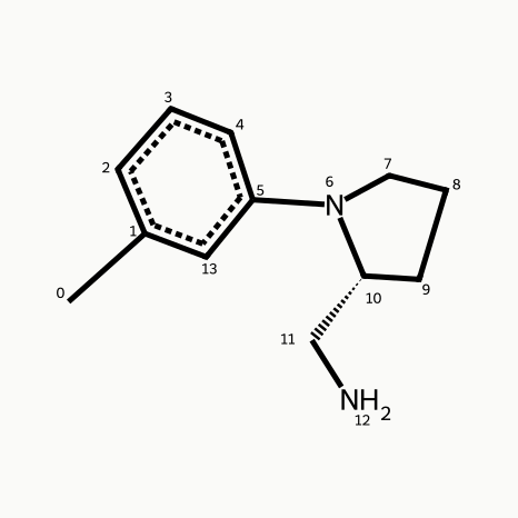 Cc1cccc(N2CCC[C@@H]2CN)c1